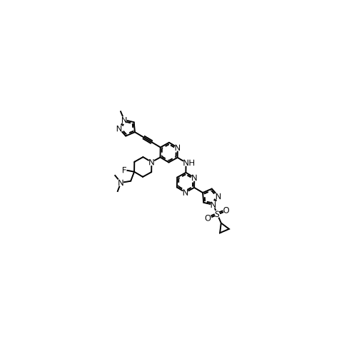 CN(C)CC1(F)CCN(c2cc(Nc3ccnc(-c4cnn(S(=O)(=O)C5CC5)c4)n3)ncc2C#Cc2cnn(C)c2)CC1